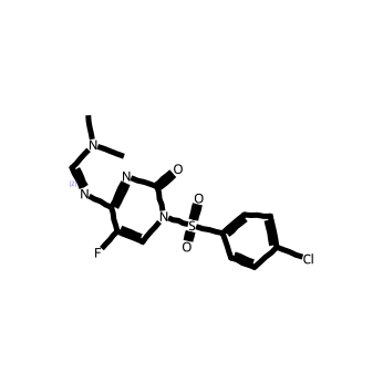 CN(C)/C=N\c1nc(=O)n(S(=O)(=O)c2ccc(Cl)cc2)cc1F